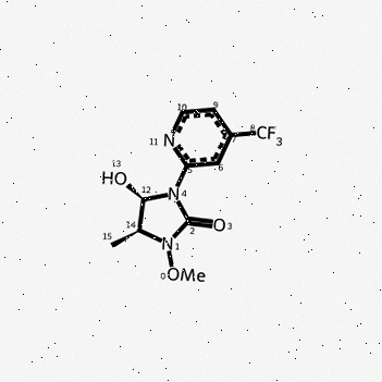 CON1C(=O)N(c2cc(C(F)(F)F)ccn2)[C@H](O)[C@@H]1C